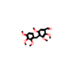 COc1cc(C=O)c(OC)c(OC)c1Cc1ccc(OC)c(OC)c1OC